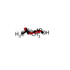 COCCCn1c([C@@H]2CCCN(C(=O)C[C@H](C)Cc3ccc(-c4ccc(C(=O)NCCO)nc4)cc3)C2)nc2ccccc21